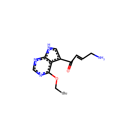 CC(C)(C)COc1ncnc2[nH]cc(C(=O)/C=C/CN)c12